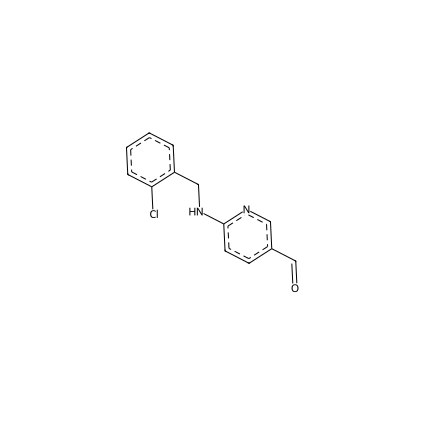 O=Cc1ccc(NCc2ccccc2Cl)nc1